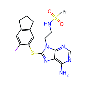 CC(C)S(=O)(=O)NCCn1c(Sc2cc3c(cc2I)CCC3)nc2c(N)ncnc21